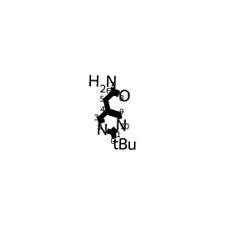 CC(C)(C)c1ncc(CC(N)=O)cn1